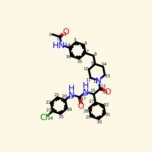 CC(=O)Nc1ccc(CC2CCN(C(=O)C(NC(=O)Nc3ccc(Cl)cc3)c3ccccc3)CC2)cc1